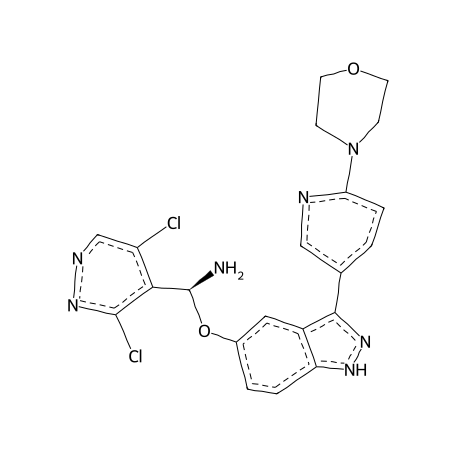 N[C@@H](Oc1ccc2[nH]nc(-c3ccc(N4CCOCC4)nc3)c2c1)c1c(Cl)cnnc1Cl